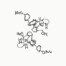 COC(=O)c1cccc2c1nc(N[C@@H]1CCCCNC1=O)n1nc(-c3ccc(OC)cc3)nc21.COc1ccc(-c2nc3c4cccc(CO)c4nc(N[C@@H]4CCCCNC4=O)n3n2)cc1